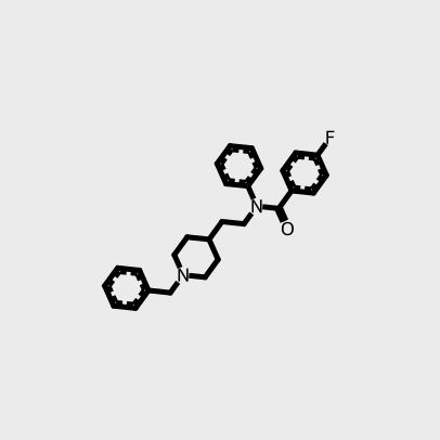 O=C(c1ccc(F)cc1)N(CCC1CCN(Cc2ccccc2)CC1)c1ccccc1